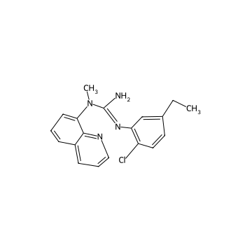 CCc1ccc(Cl)c(N=C(N)N(C)c2cccc3cccnc23)c1